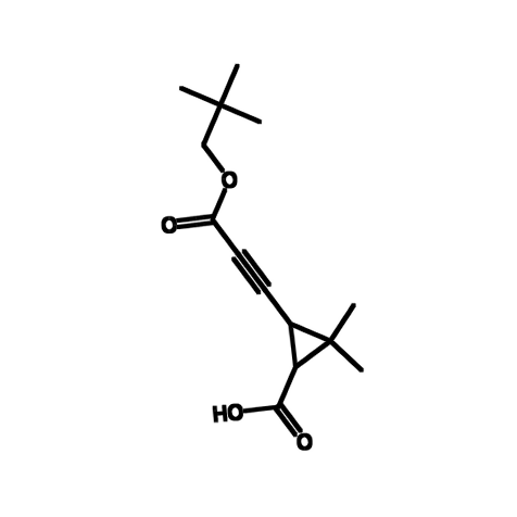 CC(C)(C)COC(=O)C#CC1C(C(=O)O)C1(C)C